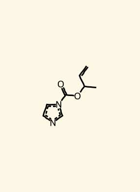 C=CC(C)OC(=O)n1ccnc1